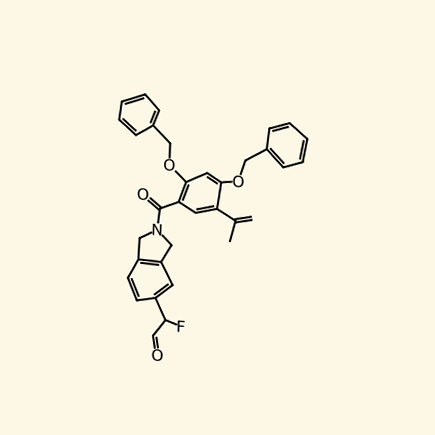 C=C(C)c1cc(C(=O)N2Cc3ccc(C(F)C=O)cc3C2)c(OCc2ccccc2)cc1OCc1ccccc1